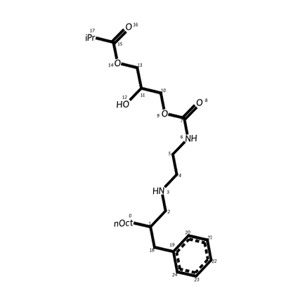 CCCCCCCCC(CNCCNC(=O)OCC(O)COC(=O)C(C)C)Cc1ccccc1